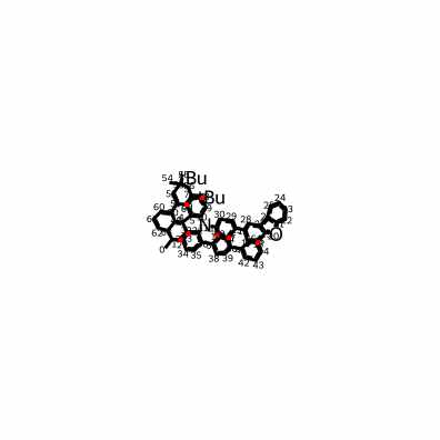 CC1C=CC(c2ccccc2N(c2ccc(-c3ccc4oc5ccccc5c4c3)cc2)c2ccccc2-c2ccc(-c3ccccc3)cc2)=C2C(C3=CC(C)(C(C)(C)C)CC(C(C)(C)C)=C3)=CC=CC21